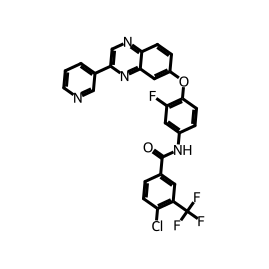 O=C(Nc1ccc(Oc2ccc3ncc(-c4cccnc4)nc3c2)c(F)c1)c1ccc(Cl)c(C(F)(F)F)c1